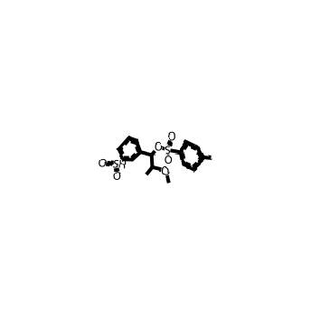 COC(C)[C](OS(=O)(=O)c1ccc(C)cc1)c1cccc([SH](=O)=O)c1